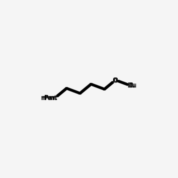 [CH2]CCCCCCCCOC(C)CC